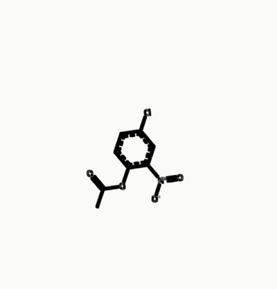 CC(=O)Oc1ccc(Cl)cc1[N+](=O)[O-]